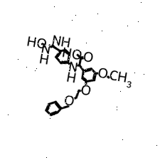 CCOc1cc(OCCOCc2ccccc2)cc(C(Nc2ccc(C(=N)NO)cc2)C(=O)O)c1